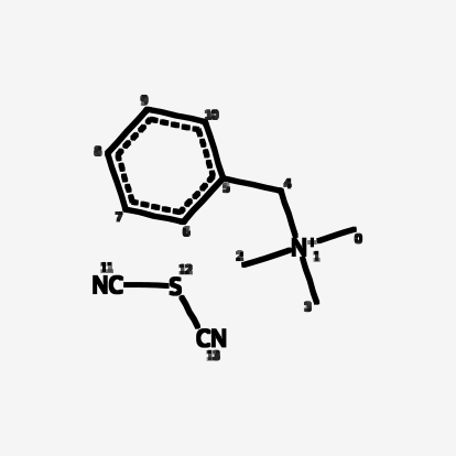 C[N+](C)(C)Cc1ccccc1.N#CSC#N